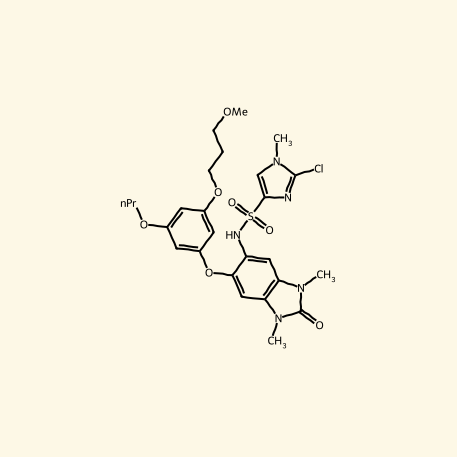 CCCOc1cc(OCCCOC)cc(Oc2cc3c(cc2NS(=O)(=O)c2cn(C)c(Cl)n2)n(C)c(=O)n3C)c1